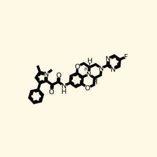 Cc1cc(-c2ccccc2)c(C(=O)C(=O)Nc2cc3c4c(c2)OC[C@H]2CN(c5ncc(F)cn5)C[C@@H](CO3)N42)n1C